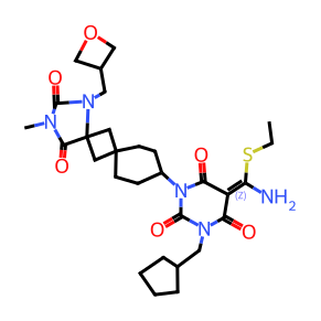 CCS/C(N)=C1/C(=O)N(CC2CCCC2)C(=O)N(C2CCC3(CC2)CC2(C3)C(=O)N(C)C(=O)N2CC2COC2)C1=O